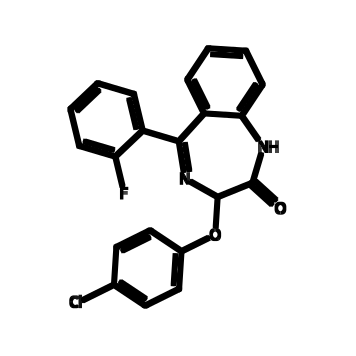 O=C1Nc2ccccc2C(c2ccccc2F)=NC1Oc1ccc(Cl)cc1